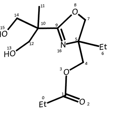 CCC(=O)OCC1(CC)COC(C(C)(CO)CO)=N1